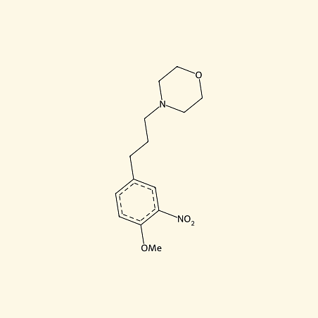 COc1ccc(CCCN2CCOCC2)cc1[N+](=O)[O-]